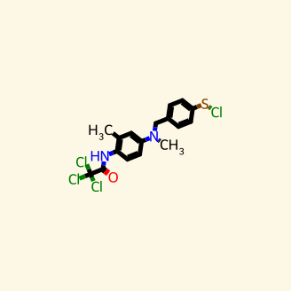 Cc1cc(N(C)Cc2ccc(SCl)cc2)ccc1NC(=O)C(Cl)(Cl)Cl